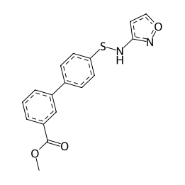 COC(=O)c1cccc(-c2ccc(SNc3ccon3)cc2)c1